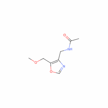 COCc1ocnc1CNC(C)=O